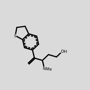 C=C(c1ccc2c(c1)SCC2)C(CCO)NC